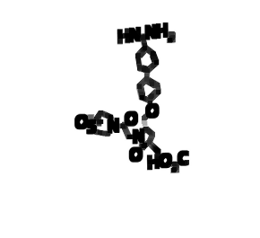 N=C(N)c1ccc(-c2ccc(OC[C@@H]3C[C@@H](CC(=O)O)C(=O)N3CC(=O)N3CC[S+]([O-])CC3)cc2)cc1